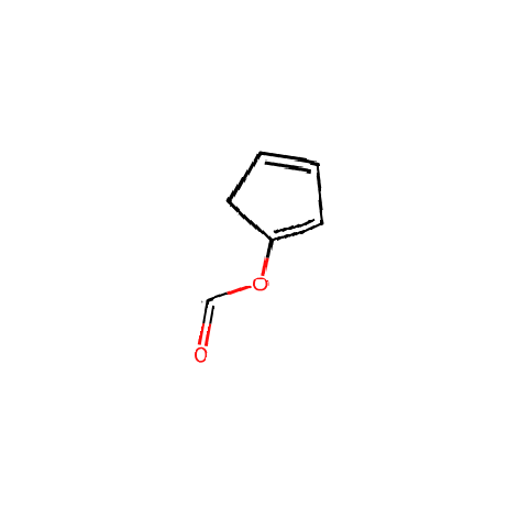 O=[C]OC1=CC=CC1